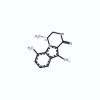 Cc1c2n(c3c(C)cccc13)[C@H](C)CNC2=O